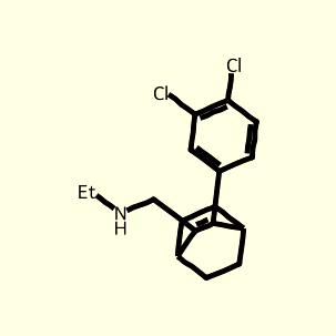 CCNCC1=C(c2ccc(Cl)c(Cl)c2)C2CCC1CC2